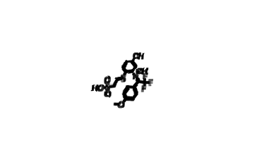 COc1ccc(C(=NO)C(F)(F)F)cc1.O=S(=O)(O)CCSc1ccc(O)cc1